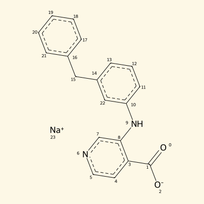 O=C([O-])c1ccncc1Nc1cccc(Cc2ccccc2)c1.[Na+]